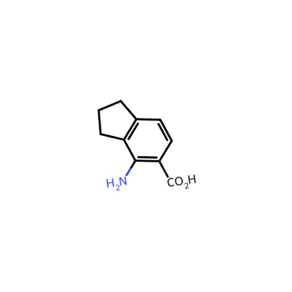 Nc1c(C(=O)O)ccc2c1CCC2